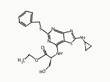 CCOC(=O)[C@H](CO)Nc1nc(SCc2ccccc2)nc2nc(NC3CC3)sc12